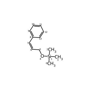 C[Si](C)(C)OC/C=C\c1ccccc1